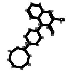 N#CC1=NC2C=CC=CC2N(C2CCN(C3CCCCCCC3)CC2)C1=O